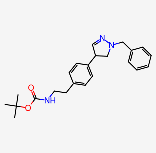 CC(C)(C)OC(=O)NCCc1ccc(C2C=NN(Cc3ccccc3)C2)cc1